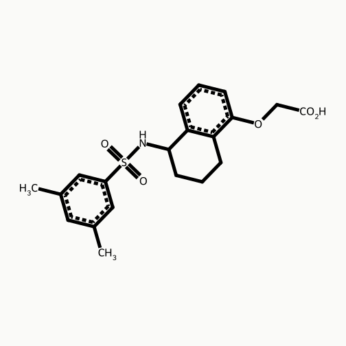 Cc1cc(C)cc(S(=O)(=O)NC2CCCc3c(OCC(=O)O)cccc32)c1